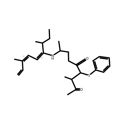 C=C/C(C)=C\C=C(\NC(C)CCC(=O)C(Sc1ccccc1)C(C)C(C)=O)C(C)CC